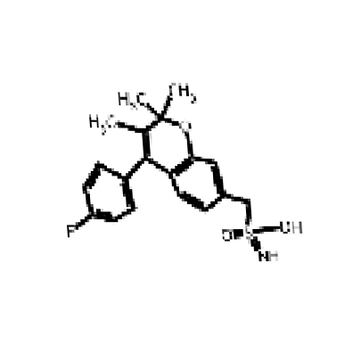 CC1=C(c2ccc(F)cc2)c2ccc(CS(=N)(=O)O)cc2OC1(C)C